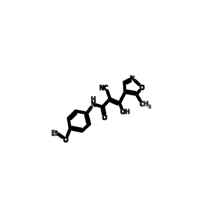 CCOc1ccc(NC(=O)/C(C#N)=C(\O)c2cnoc2C)cc1